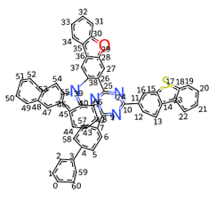 c1ccc(-c2ccc(-c3nc(-c4ccc5c(c4)sc4ccccc45)nc(-c4cc5oc6ccccc6c5cc4-n4c5ccccc5c5cc6ccccc6cc54)n3)cc2)cc1